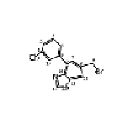 Clc1cccc(-c2cc(CBr)cc3scnc23)c1